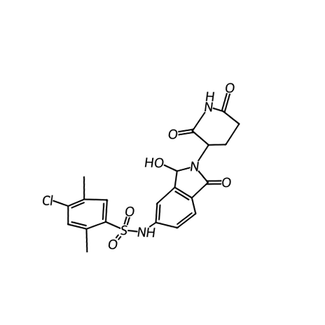 Cc1cc(S(=O)(=O)Nc2ccc3c(c2)C(O)N(C2CCC(=O)NC2=O)C3=O)c(C)cc1Cl